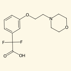 O=C(O)C(F)(F)c1cccc(OCCN2CCOCC2)c1